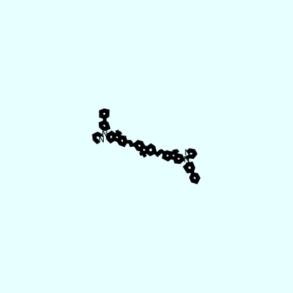 CC1(C)c2cc(/C=C/c3ccc4c(c3)C(C)(C)c3cc(N(c5ccc(-c6ccccc6)cc5)c5ccccn5)ccc3-4)ccc2-c2ccc(/C=C/c3ccc4c(c3)C(C)(C)c3cc(N(c5ccc(-c6ccccc6)cc5)c5ccccn5)ccc3-4)cc21